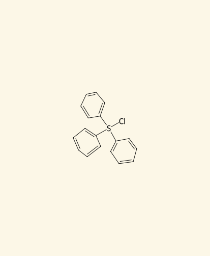 ClS(c1ccccc1)(c1ccccc1)c1ccccc1